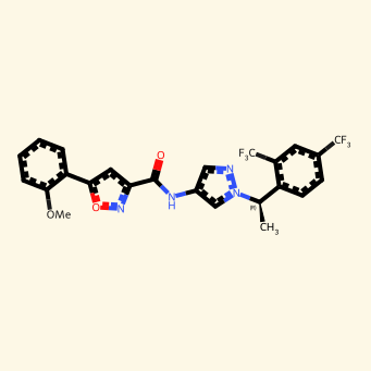 COc1ccccc1-c1cc(C(=O)Nc2cnn([C@H](C)c3ccc(C(F)(F)F)cc3C(F)(F)F)c2)no1